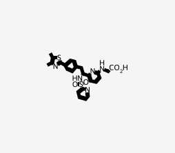 Cc1nc(-c2ccc(CC(NS(=O)(=O)c3ccccn3)c3cccc(NCC(=O)O)n3)cc2)sc1C